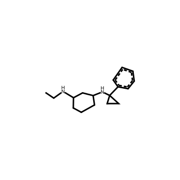 CCNC1CCCC(NC2(c3ccccc3)CC2)C1